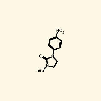 CCCCN1CCN(c2ccc([N+](=O)[O-])cc2)C1=O